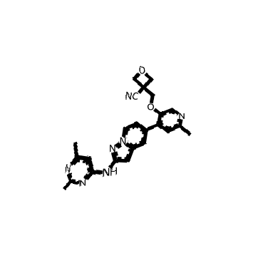 Cc1cc(-c2ccn3nc(Nc4cc(C)nc(C)n4)cc3c2)c(OCC2(C#N)COC2)cn1